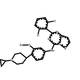 CCOc1cc(Nc2nc(-c3c(Cl)cccc3Cl)nc3ccnn23)ccc1C1CCN(C2CC2)CC1